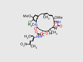 C=C/C(=C\C=C(/C)[N+](=O)[O-])NC(=O)O[C@H]1CC(=O)N(C)c2cc(cc(OC)c2Cl)C/C(C)=C/C=C/[C@@H](OC)[C@@]2(O)C[C@H](OC(=O)N2)[C@@H](C)[C@@H]2O[C@@]12C